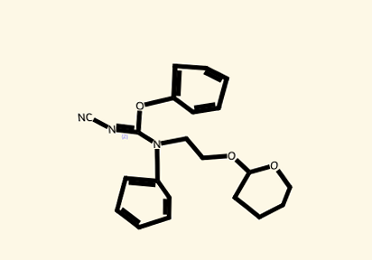 N#C/N=C(\Oc1ccccc1)N(CCOC1CCCCO1)c1ccccc1